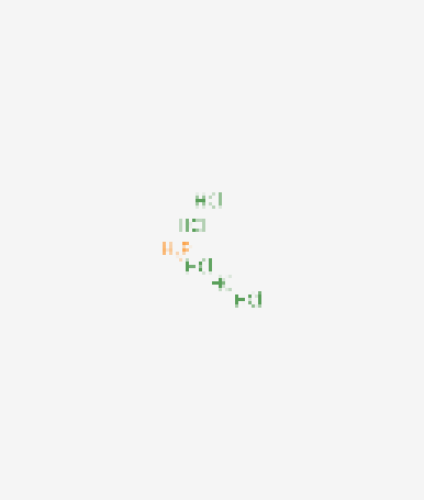 Cl.Cl.Cl.Cl.Cl.P